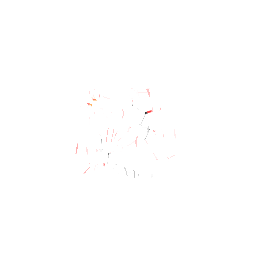 O=C(CO)[C@@H](O)[C@H](O)CO.O=C[C@H](O)[C@H](O)[C@H](O)COP(=O)(O)O